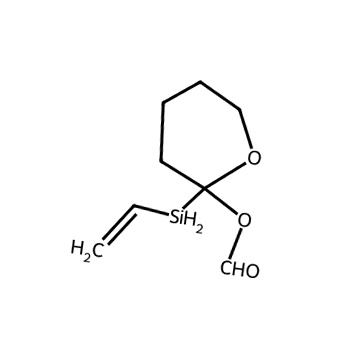 C=C[SiH2]C1(OC=O)CCCCO1